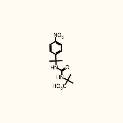 CC(C)(NC(=O)NC(C)(C)c1ccc([N+](=O)[O-])cc1)C(=O)O